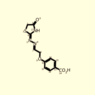 O=C1CSC(=NN=CCOc2ccc(C(=O)O)cc2)N1